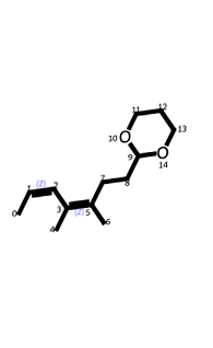 C/C=C\C(C)=C(\C)CCC1OCCCO1